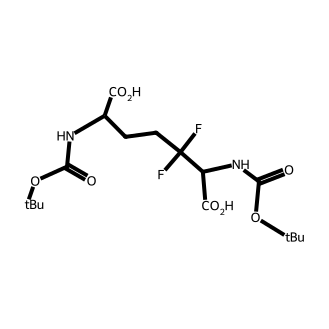 CC(C)(C)OC(=O)NC(CCC(F)(F)C(NC(=O)OC(C)(C)C)C(=O)O)C(=O)O